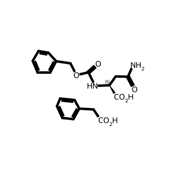 NC(=O)C[C@H](NC(=O)OCc1ccccc1)C(=O)O.O=C(O)Cc1ccccc1